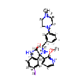 CCOc1ncccc1C1(NCc2cccc(N3CCN(C)CC3)c2)C(=O)Nc2ccc(I)cc21